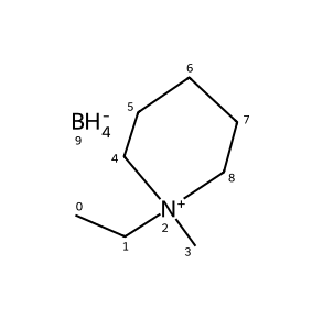 CC[N+]1(C)CCCCC1.[BH4-]